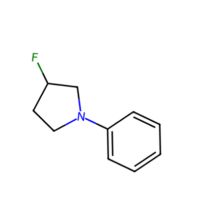 FC1CCN(c2ccccc2)C1